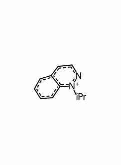 CC(C)[n+]1nccc2ccccc21